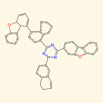 C1=CC2Oc3ccccc3C2C(c2ccc(-c3nc(-c4ccc5c(c4)C=CCC5)nc(-c4ccc5c(c4)oc4ccccc45)n3)c3ccccc23)=C1